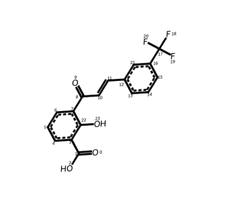 O=C(O)c1cccc(C(=O)/C=C/c2cccc(C(F)(F)F)c2)c1O